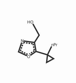 CCCC1(c2ocnc2CO)CC1